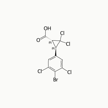 O=C(O)[C@H]1[C@H](c2cc(Cl)c(Br)c(Cl)c2)C1(Cl)Cl